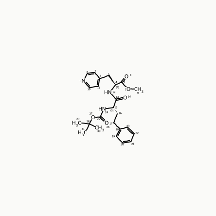 COC(=O)[C@H](Cc1ccncc1)NC(=O)[C@H](CCc1ccccc1)NC(=O)OC(C)(C)C